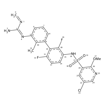 C=N/C(N)=N\c1cccc(-c2c(F)ccc(NS(=O)(=O)c3cc(Cl)cnc3OC)c2F)c1C